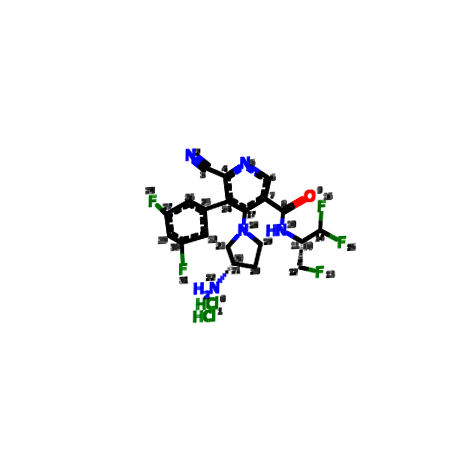 Cl.Cl.N#Cc1ncc(C(=O)N[C@@H](CF)C(F)F)c(N2CC[C@H](N)C2)c1-c1cc(F)cc(F)c1